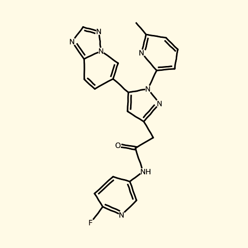 Cc1cccc(-n2nc(CC(=O)Nc3ccc(F)nc3)cc2-c2ccc3ncnn3c2)n1